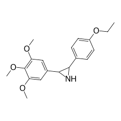 CCOc1ccc(C2NC2c2cc(OC)c(OC)c(OC)c2)cc1